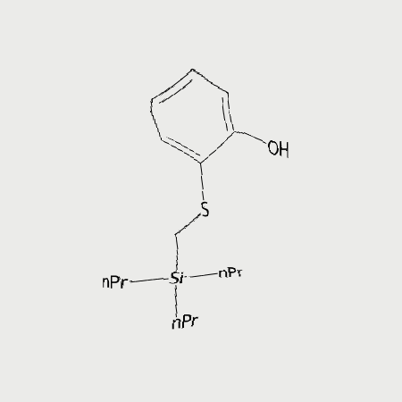 CCC[Si](CCC)(CCC)CSc1ccccc1O